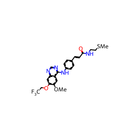 COc1cc2c(Nc3ccc(C=CC(=O)NCCSC)cc3)ncnc2cc1OCC(F)(F)F